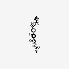 CCOC(=O)NC[C@H]1CN(c2ccc(N3CCN(C(=O)CNC(=O)c4ccno4)CC3)c(F)c2)C(=O)O1